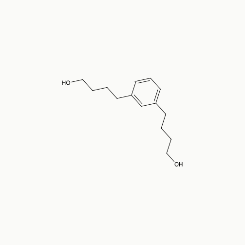 OCCCCc1[c]ccc(CCCCO)c1